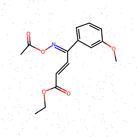 CCOC(=O)/C=C/C(=N\OC(C)=O)c1cccc(OC)c1